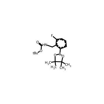 CC(C)(C)OC(=O)NCc1c(F)cccc1B1OC(C)(C)C(C)(C)O1